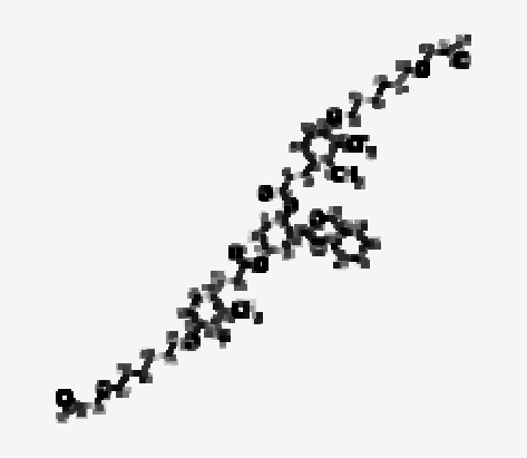 Cc1c(CCC(=O)Oc2ccc(OC(=O)CCc3ccc(OCCCCCCOCC4CO4)c(F)c3C(F)(F)F)cc2C(=O)OCc2ccccc2)ccc(OCCCCCCOCC2CO2)c1C(F)(F)F